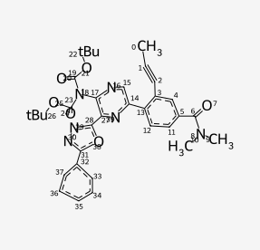 CC#Cc1cc(C(=O)N(C)C)ccc1-c1cnc(N(C(=O)OC(C)(C)C)C(=O)OC(C)(C)C)c(-c2nnc(-c3ccccc3)o2)n1